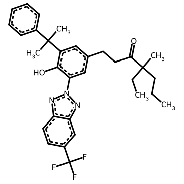 CCCC(C)(CC)C(=O)CCc1cc(-n2nc3ccc(C(F)(F)F)cc3n2)c(O)c(C(C)(C)c2ccccc2)c1